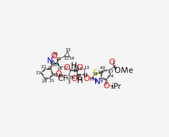 COC(=O)c1cc(OC(C)C)c2nc(OC3CO[C@@H]4C(OCc5c(-c6ccccc6OC(F)(F)F)noc5C5CC5)CO[C@H]34)sc2c1